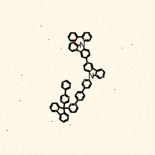 c1ccc(-c2ccc(C3(c4cccc(-c5ccc(-c6ccc(-n7c8ccccc8c8cc(-c9ccc%10c(c9)c9ccccc9n%10-c9ccccc9-c9ccccc9)ccc87)cc6)cc5)c4)c4ccccc4-c4ccccc43)cc2)cc1